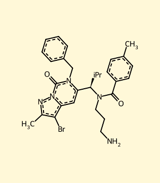 Cc1ccc(C(=O)N(CCCN)[C@@H](c2cc3c(Br)c(C)nn3c(=O)n2Cc2ccccc2)C(C)C)cc1